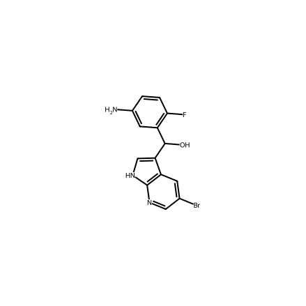 Nc1ccc(F)c(C(O)c2c[nH]c3ncc(Br)cc23)c1